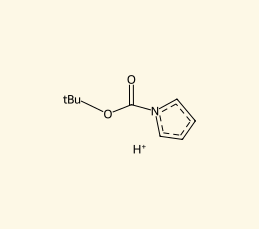 CC(C)(C)OC(=O)n1cccc1.[H+]